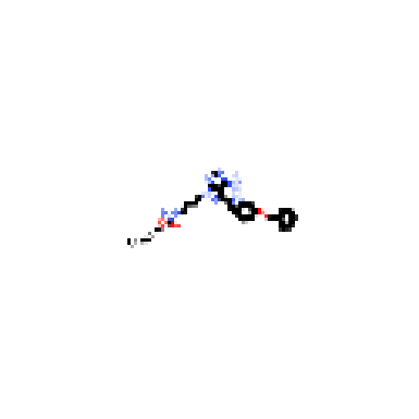 CCCCOC(=O)NCCCCn1nc(-c2cc3ccc(OCc4ccccc4)cc3[nH]2)c2c(N)ncnc21